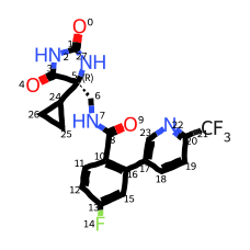 O=C1NC(=O)[C@](CNC(=O)c2ccc(F)cc2-c2ccc(C(F)(F)F)nc2)(C2CC2)N1